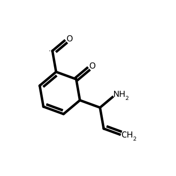 C=CC(N)C1C=CC=C([C]=O)C1=O